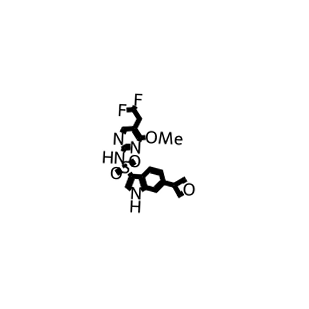 COc1nc(NS(=O)(=O)c2c[nH]c3cc(C4COC4)ccc23)ncc1CC(F)F